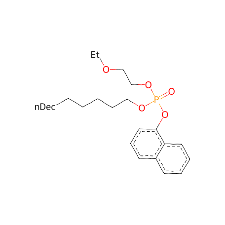 CCCCCCCCCCCCCCCOP(=O)(OCCOCC)Oc1cccc2ccccc12